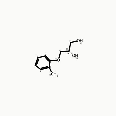 Cc1ccccc1OC[C@@H](O)CO